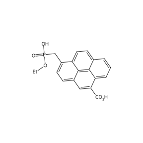 CCOP(=O)(O)Cc1ccc2cc(C(=O)O)c3cccc4ccc1c2c43